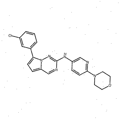 Clc1cccc(-c2ccc3cnc(Nc4ccc(N5CCOCC5)nc4)nn23)c1